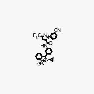 CN(C1CC1)C(c1cccc(NC(=O)c2cc(C(F)(F)F)nn2-c2cccc(C#N)c2)c1)c1ccccc1S(C)(=O)=O